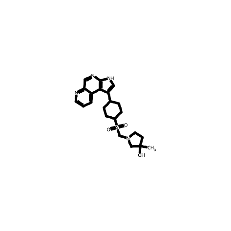 CC1(O)CCN(CS(=O)(=O)C2CCC(c3c[nH]c4ncc5ncccc5c34)CC2)C1